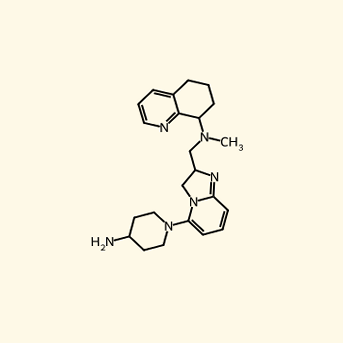 CN(CC1CN2C(N3CCC(N)CC3)=CC=CC2=N1)C1CCCc2cccnc21